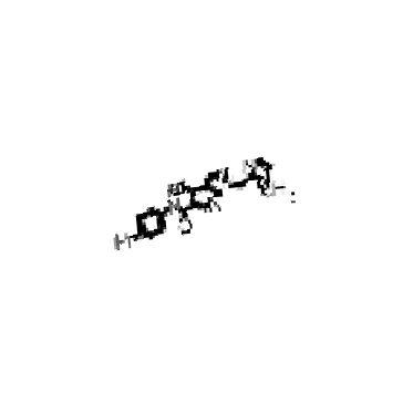 CC(C)c1ccc(NC(=O)c2cnc3c(cnn3Cc3nccn3C)c2Cl)cc1